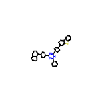 c1ccc(-c2nc(-c3ccc(-c4ccc5c(c4)sc4ccccc45)cc3)nc(-c3ccc(-c4cccc5ccccc45)cc3)n2)cc1